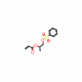 C=CC(=O)OC(C)COS(=O)(=O)c1ccccc1